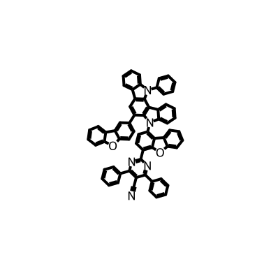 N#Cc1c(-c2ccccc2)nc(-c2ccc(-n3c4ccccc4c4c3c(-c3ccc5oc6ccccc6c5c3)cc3c5ccccc5n(-c5ccccc5)c34)c3c2oc2ccccc23)nc1-c1ccccc1